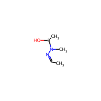 C/C=N\N(C)B(C)O